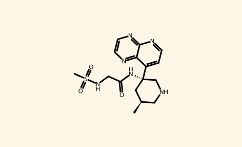 C[C@@H]1CNC[C@](NC(=O)CNS(C)(=O)=O)(c2ccnc3nccnc23)C1